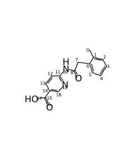 Cc1ccccc1CC(=O)Nc1ccc(C(=O)O)cn1